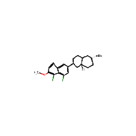 CCCC[C@@H]1CC[C@@H]2CC(c3cc(F)c4c(F)c(OC(F)(F)F)ccc4c3)CCC2C1